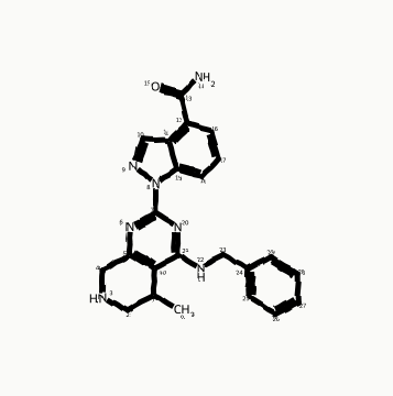 CC1CNCc2nc(-n3ncc4c(C(N)=O)cccc43)nc(NCc3ccccc3)c21